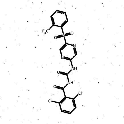 O=C(NC(=O)c1c(Cl)cccc1Cl)Nc1cnc(S(=O)(=O)c2ccccc2C(F)(F)F)cn1